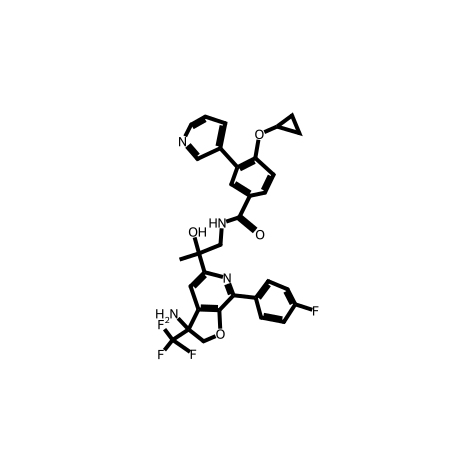 CC(O)(CNC(=O)c1ccc(OC2CC2)c(-c2cccnc2)c1)c1cc2c(c(-c3ccc(F)cc3)n1)OCC2(N)C(F)(F)F